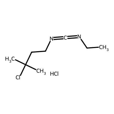 CCN=C=NCCC(C)(C)Cl.Cl